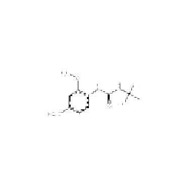 CC(NC(=O)Nc1ccc(C(=O)O)cc1OC(F)(F)F)(C(F)(F)F)C(F)(F)F